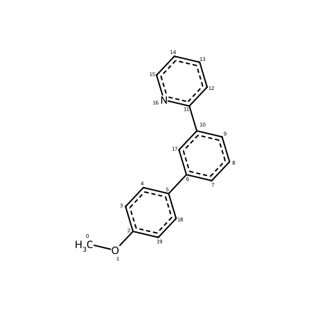 COc1ccc(-c2cccc(-c3ccccn3)c2)cc1